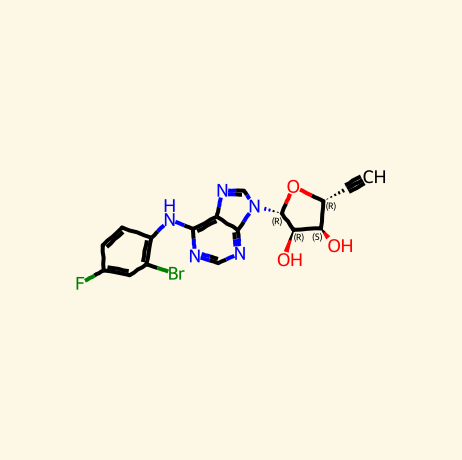 C#C[C@H]1O[C@@H](n2cnc3c(Nc4ccc(F)cc4Br)ncnc32)[C@H](O)[C@@H]1O